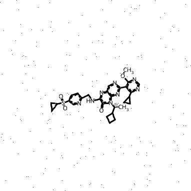 COc1ncnc(C2CC2)c1-c1ncc2nc(NCc3ccc(S(=O)(=O)C4CC4)cn3)c(=O)n([C@@H](C)C3CCC3)c2n1